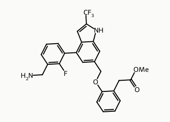 COC(=O)Cc1ccccc1OCc1cc(-c2cccc(CN)c2F)c2cc(C(F)(F)F)[nH]c2c1